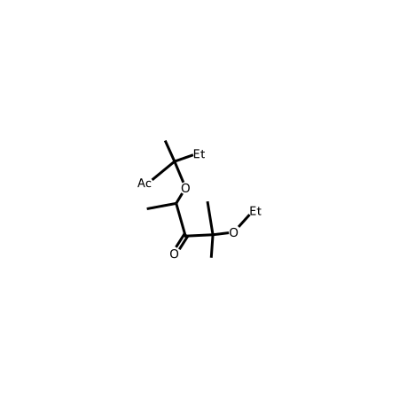 CCOC(C)(C)C(=O)C(C)OC(C)(CC)C(C)=O